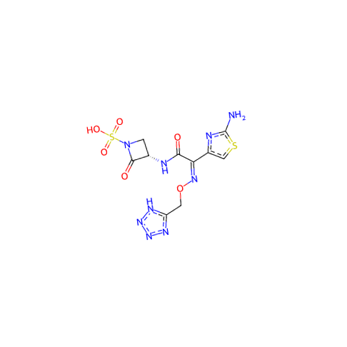 Nc1nc(C(=NOCc2nnn[nH]2)C(=O)N[C@H]2CN(S(=O)(=O)O)C2=O)cs1